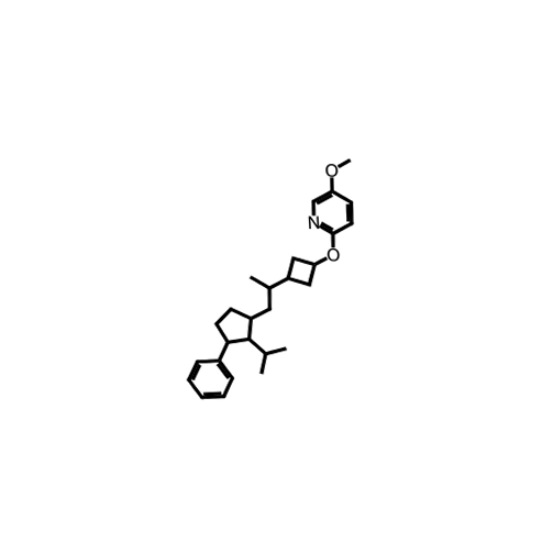 COc1ccc(OC2CC(C(C)CC3CCC(c4ccccc4)C3C(C)C)C2)nc1